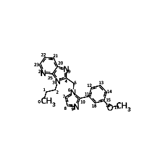 CCCn1c(Cn2ccnc2-c2cccc(OC)c2)nc2cccnc21